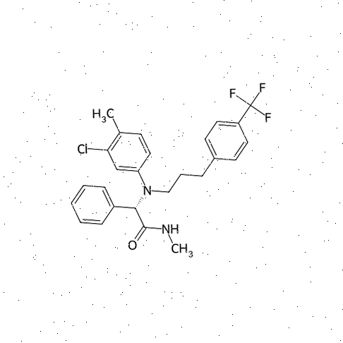 CNC(=O)[C@H](c1ccccc1)N(CCCc1ccc(C(F)(F)F)cc1)c1ccc(C)c(Cl)c1